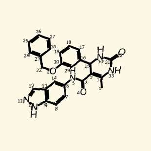 CC1=C(C(=O)Nc2ccc3[nH]ncc3c2)C(c2cccc(OCc3ccccc3)c2)NC(=O)N1